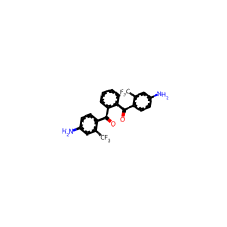 Nc1ccc(C(=O)c2ccccc2C(=O)c2ccc(N)cc2C(F)(F)F)c(C(F)(F)F)c1